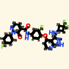 O=C(Nc1ccc(Oc2ccnc3[nH]nc(NC4CC(F)(F)C4)c23)c(F)c1)c1ccnn(-c2ccc(F)cc2)c1=O